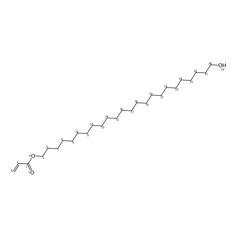 C=CC(=O)OCCCCCCCCCCCCCCCCCCCCCCCCO